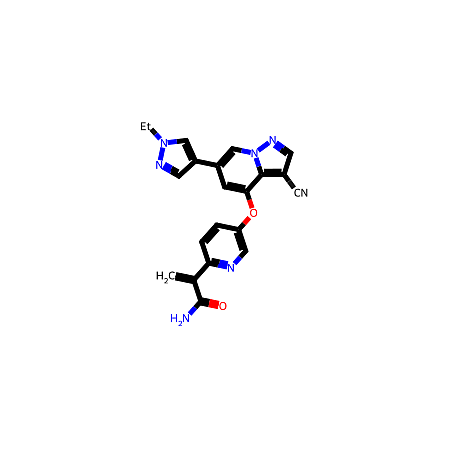 C=C(C(N)=O)c1ccc(Oc2cc(-c3cnn(CC)c3)cn3ncc(C#N)c23)cn1